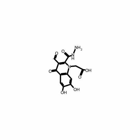 NNC(=O)c1c([C]=O)c(=O)c2cc(O)c(O)cc2n1CC(=O)O